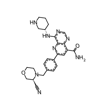 N#C[C@H]1COCCN1Cc1ccc(-c2cc(C(N)=O)c3ncnc(N[C@H]4CCCNC4)c3n2)cc1